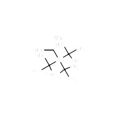 C[CH2][Zn-2]([C](C)(C)C)([C](C)(C)C)[C](C)(C)C.[Mg+2]